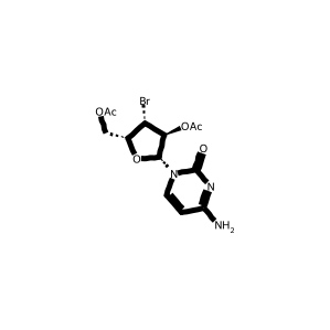 CC(=O)OC[C@H]1O[C@@H](n2ccc(N)nc2=O)[C@H](OC(C)=O)[C@H]1Br